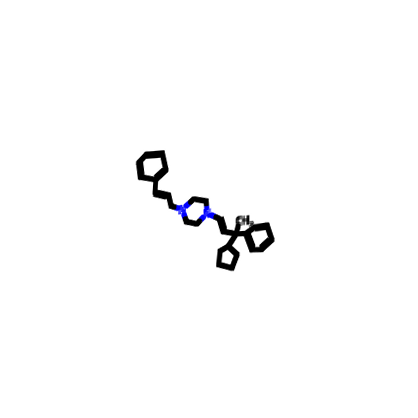 CC(C=CN1CCN(C/C=C/c2ccccc2)CC1)(c1ccccc1)C1CCCC1